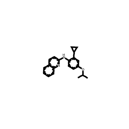 CC(C)Oc1ccc(Nc2ccc3ccccc3n2)c(C2CC2)c1